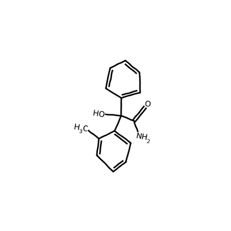 Cc1ccccc1C(O)(C(N)=O)c1ccccc1